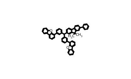 CC1(C)c2cc(-c3ccccc3)ccc2-c2ccc(C(c3cccc(-c4cccc5c4oc4ccccc45)c3)c3cccc(-c4cccc5c4oc4ccccc45)c3)cc21